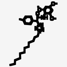 CCCCCCCCCCCCn1nnc(C(C(=O)Nc2c(OC)cc(OC)cc2OC)c2ccc(C)cc2)n1